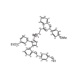 CCOC(=O)c1cncc(-n2c(C)ccc2-c2ccccc2OCc2ccc(OCC)cc2)c1.COc1ccc(COc2ccccc2C(=O)CCC(C)=O)cc1